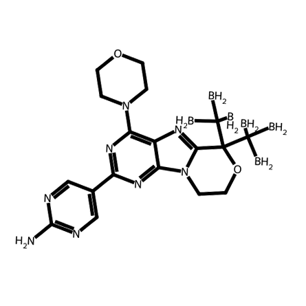 BC(B)(B)C1(C(B)(B)B)OCCn2c1nc1c(N3CCOCC3)nc(-c3cnc(N)nc3)nc12